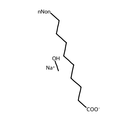 CCCCCCCCCCCCCCCCCC(=O)[O-].CO.[Na+]